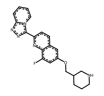 Fc1cc(OCC2CCCNC2)cc2ccc(-c3nnc4ccccn34)nc12